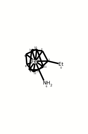 CC[C]12[CH]3[CH]4[CH]5[C]1(N)[Fe]45321678[CH]2[CH]1[CH]6[CH]7[CH]28